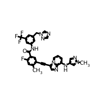 Cc1cc(F)c(C(=O)Nc2cc(Cn3cncn3)cc(C(F)(F)F)c2)cc1C#Cc1cnc2c(Nc3cnn(C)c3)cccn12